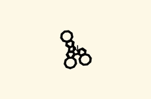 c1cc2c(c3c1CCCCCCC3)c1c3c(cc4c5cc6c(cc5n2c41)CCCCCCC6)CCCCCCC3